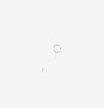 NCc1nc(CCOC=O)n[nH]1